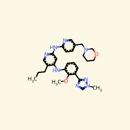 CCCc1cnc(Nc2ccc(CN3CCCOC3)cn2)cc1Nc1cccc(-c2ncn(C)n2)c1OC